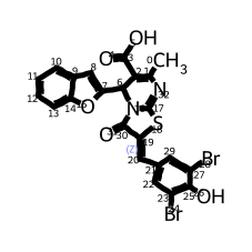 CC1=C(C(=O)O)C(c2cc3ccccc3o2)n2c(s/c(=C\c3cc(Br)c(O)c(Br)c3)c2=O)=N1